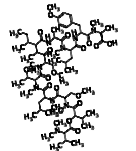 CCC(C)C(C(=O)NC(C)C(=O)N(C)C(CC(C)C)C(=O)NC(Cc1ccc(OC)cc1)C(=O)N(C)C(C)C(=O)O)C(C)C(=O)C(COC)N(C)C(=O)C(C(C)O)N(C)C(=O)C(CC(C)C)N(C)C(=O)C(COC)N(C)C(=O)C(OC(=O)C(C(C)C)N(C)C)C(C)C